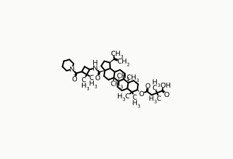 C=C(C)[C@@H]1CC[C@@]2(C(=O)NC3CC(C(=O)N4CCCCC4)C3(C)C)CC[C@]3(C)C(CCC4[C@@]5(C)CC[C@H](OC(=O)CC(C)(C)C(=O)O)C(C)(C)C5CC[C@]43C)C12